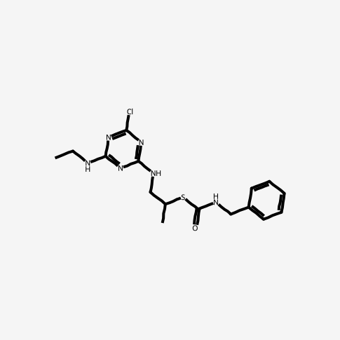 CCNc1nc(Cl)nc(NCC(C)SC(=O)NCc2ccccc2)n1